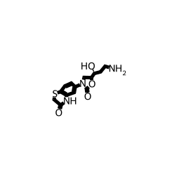 NCC[C@@H](O)C1CN(c2ccc3c(c2)NC(=O)CS3)C(=O)O1